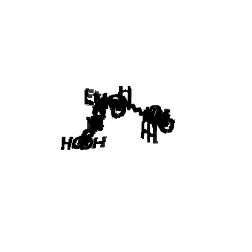 CCN(CCOC(=O)NCCCCCCNC(=O)Nc1nc(=O)cc(C)[nH]1)c1ccc(/N=N/c2ccc(N(O)O)cc2)cc1